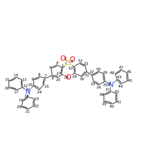 O=S1(=O)c2ccc(-c3ccc(N(c4ccccc4)c4ccccc4)cc3)cc2Oc2cc(-c3ccc(N(c4ccccc4)c4ccccc4)cc3)ccc21